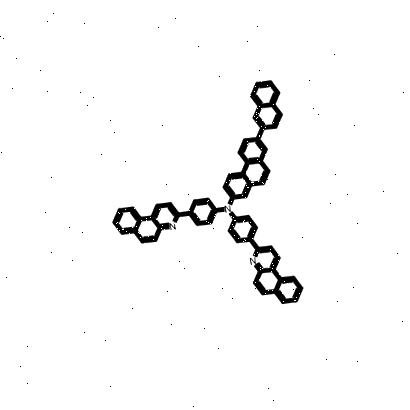 c1ccc2cc(-c3ccc4c(ccc5cc(N(c6ccc(-c7ccc8c(ccc9ccccc98)n7)cc6)c6ccc(-c7ccc8c(ccc9ccccc98)n7)cc6)ccc54)c3)ccc2c1